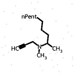 C#CCN(C)C(C)CCCCCCCC